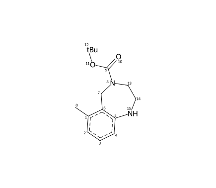 Cc1cccc2c1CN(C(=O)OC(C)(C)C)CCN2